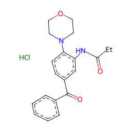 CCC(=O)Nc1cc(C(=O)c2ccccc2)ccc1N1CCOCC1.Cl